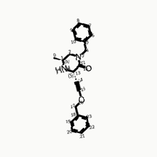 C[C@H]1CN(Cc2ccccc2)C(=O)[C@H](C#COCc2ccccc2)N1